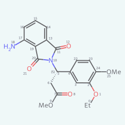 CCOc1cc([C@H](CC(=O)OC)N2C(=O)c3cccc(N)c3C2=O)ccc1OC